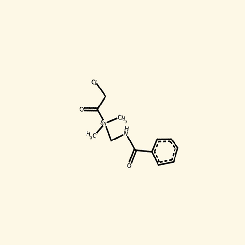 [CH3][Sn]([CH3])([CH2]NC(=O)c1ccccc1)[C](=O)CCl